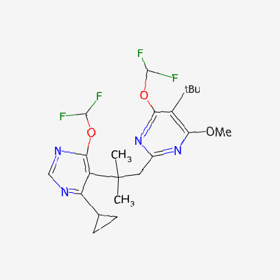 COc1nc(CC(C)(C)c2c(OC(F)F)ncnc2C2CC2)nc(OC(F)F)c1C(C)(C)C